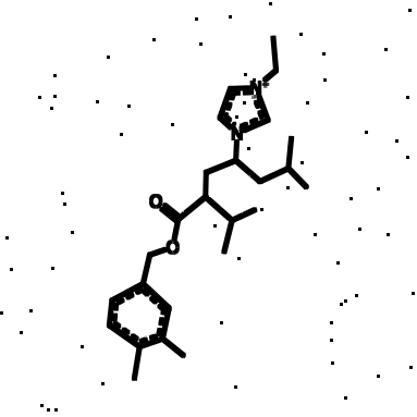 CC[n+]1ccn(C(CC(C)C)CC(C(=O)OCc2ccc(C)c(C)c2)C(C)C)c1